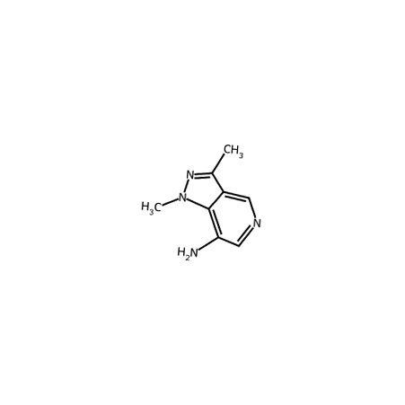 Cc1nn(C)c2c(N)cncc12